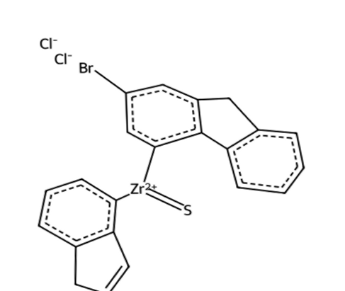 [Cl-].[Cl-].[S]=[Zr+2]([c]1cccc2c1C=CC2)[c]1cc(Br)cc2c1-c1ccccc1C2